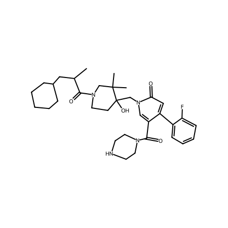 CC(CC1CCCCC1)C(=O)N1CCC(O)(Cn2cc(C(=O)N3CCNCC3)c(-c3ccccc3F)cc2=O)C(C)(C)C1